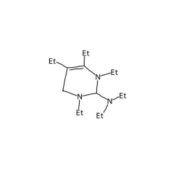 CCC1=C(CC)N(CC)C(N(CC)CC)N(CC)C1